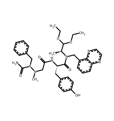 CCOC(OCC)[C@H](C)N(Cc1cccc2nccnc12)C(=O)[C@H](Cc1ccc(O)cc1)NC(=O)CN(C)N(Cc1ccccc1)C(N)=O